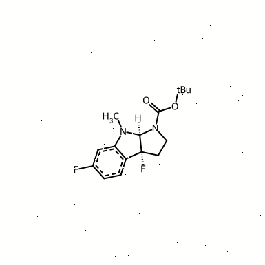 CN1c2cc(F)ccc2[C@]2(F)CCN(C(=O)OC(C)(C)C)[C@H]12